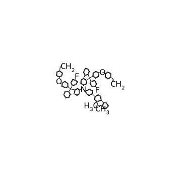 C=Cc1ccc(Oc2ccc(C3(c4ccc(F)cc4)c4ccccc4-c4ccc(N(c5ccc(-c6ccc7c(c6)C(C)(C)c6ccccc6-7)cc5)c5ccc6c(c5)C(c5ccc(F)cc5)(c5ccc(Oc7ccc(C=C)cc7)cc5)c5ccccc5-6)cc43)cc2)cc1